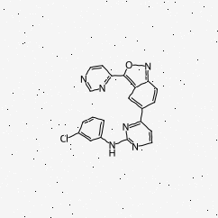 Clc1cccc(Nc2nccc(-c3ccc4noc(-c5ccncn5)c4c3)n2)c1